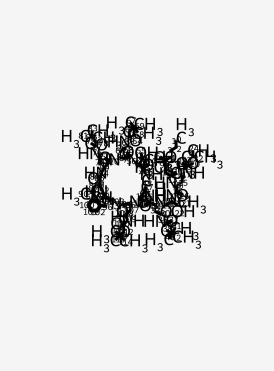 CCCCOC(=O)C(C)(C)CC(=O)N[C@@H](CCNC(=O)OC(C)(C)C)C(=O)N[C@H](C(=O)N[C@@H](CCNC(=O)OC(C)(C)C)C(=O)N[C@H]1CCNC(=O)[C@H](C(C)O)NC(=O)[C@H](CCNC(=O)OC(C)(C)C)NC(=O)[C@H](CCNC(=O)OC(C)(C)C)NC(=O)[C@H](CC(C)C)NC(=O)[C@@H](Cc2ccccc2)NC(=O)[C@H](CCNC(=O)OC(C)(C)C)NC1=O)C(C)O